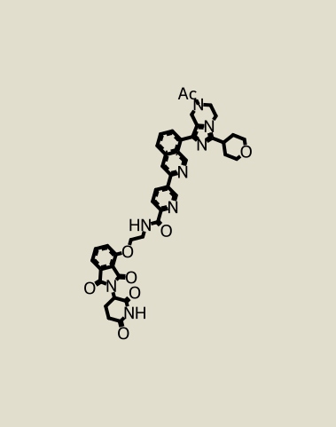 CC(=O)N1CCn2c(C3CCOCC3)nc(-c3cccc4cc(-c5ccc(C(=O)NCCOc6cccc7c6C(=O)N(C6CCC(=O)NC6=O)C7=O)nc5)ncc34)c2C1